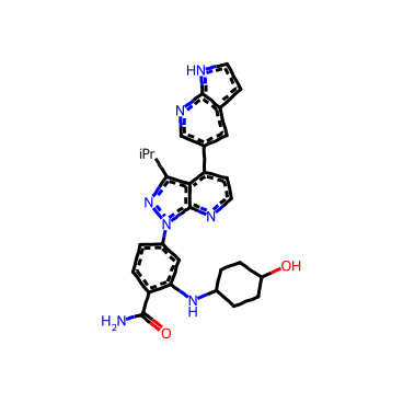 CC(C)c1nn(-c2ccc(C(N)=O)c(NC3CCC(O)CC3)c2)c2nccc(-c3cnc4[nH]ccc4c3)c12